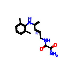 C=C(/C=C/CNC(=O)C(N)=O)Nc1c(C)cccc1C